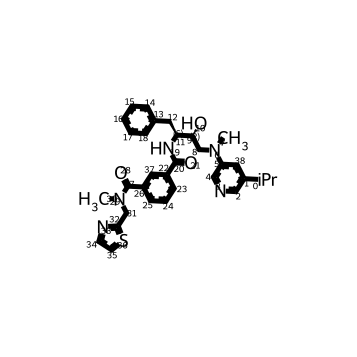 CC(C)c1cncc(N(C)C[C@@H](O)[C@H](Cc2ccccc2)NC(=O)c2cccc(C(=O)N(C)Cc3nccs3)c2)c1